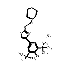 CC(C)(C)c1cc(-c2csc(CNC3CCCCC3)n2)cc(C(C)(C)C)c1O.Cl